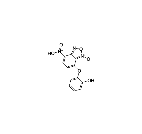 O=[N+](O)c1ccc(Oc2ccccc2O)c2c1no[n+]2[O-]